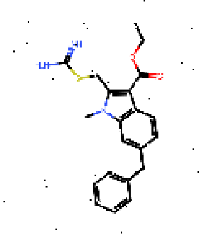 CCOC(=O)c1c(CSC(=N)N)n(C)c2cc(Cc3ccccc3)ccc12